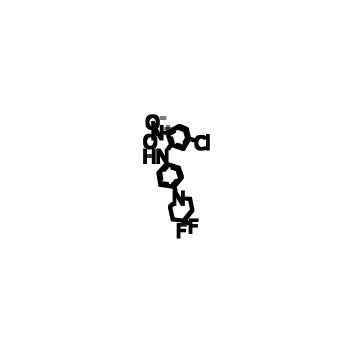 O=[N+]([O-])c1ccc(Cl)cc1Nc1ccc(N2CCC(F)(F)CC2)cc1